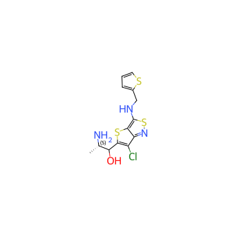 C[C@H](N)C(O)c1sc2c(NCc3cccs3)snc2c1Cl